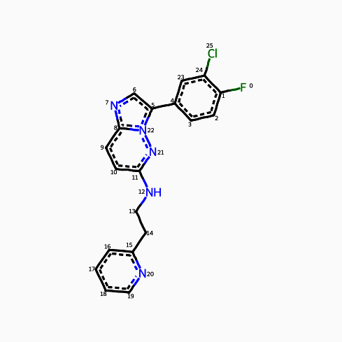 Fc1ccc(-c2cnc3ccc(NCCc4ccccn4)nn23)cc1Cl